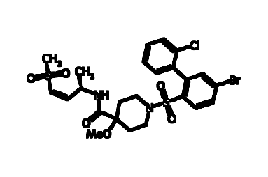 COC1(C(=O)N[C@H](C)/C=C\S(C)(=O)=O)CCN(S(=O)(=O)c2ccc(Br)cc2-c2ccccc2Cl)CC1